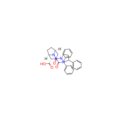 O=C(O)[C@@H]1[C@H]2CC[C@@H](CN1C(=O)N(c1ccccc1)c1ccccc1)N2C(=O)N1CCC(c2ccccc2)C1